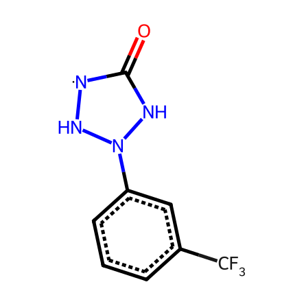 O=C1[N]NN(c2cccc(C(F)(F)F)c2)N1